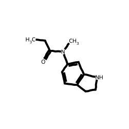 CCC(=O)N(C)c1ccc2c(c1)NCC2